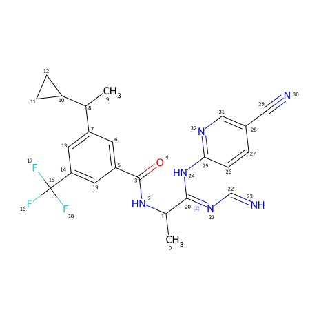 CC(NC(=O)c1cc(C(C)C2CC2)cc(C(F)(F)F)c1)/C(=N/C=N)Nc1ccc(C#N)cn1